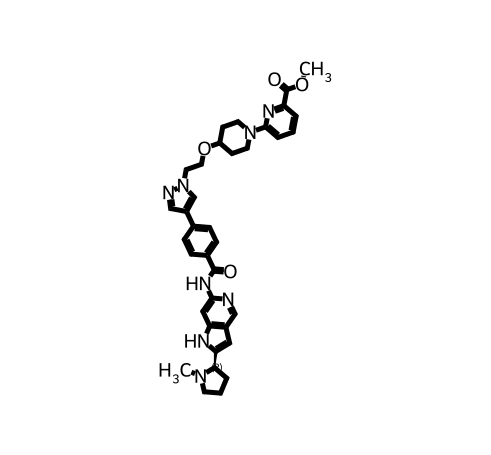 COC(=O)c1cccc(N2CCC(OCCn3cc(-c4ccc(C(=O)Nc5cc6[nH]c([C@H]7CCCN7C)cc6cn5)cc4)cn3)CC2)n1